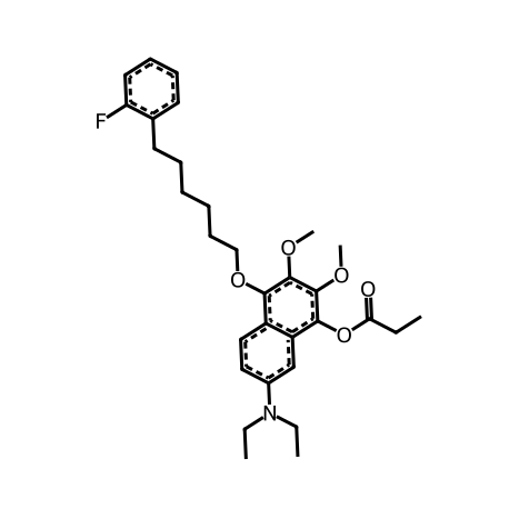 CCC(=O)Oc1c(OC)c(OC)c(OCCCCCCc2ccccc2F)c2ccc(N(CC)CC)cc12